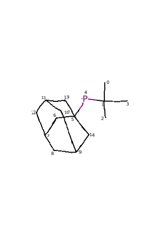 CC(C)(C)[P]C12CC3CC(CC(C3)C1)C2